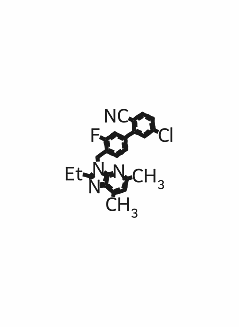 CCc1nc2c(C)cc(C)nc2n1Cc1ccc(-c2cc(Cl)ccc2C#N)cc1F